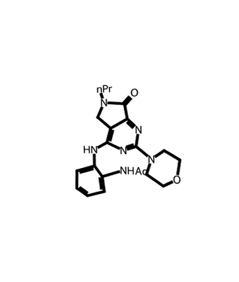 CCCN1Cc2c(Nc3ccccc3NC(C)=O)nc(N3CCOCC3)nc2C1=O